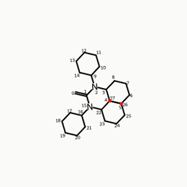 C=C(N(C1CCCCC1)C1CCCCC1)N(C1CCCCC1)C1CCCCC1